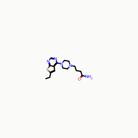 CCc1cc2c(N3CCN(CCCC(N)=O)CC3)ncnc2s1